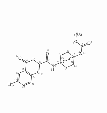 CC(C)(C)OC(=O)NC12CCC(NC(=O)C3CC(=O)c4cc(Cl)ccc4O3)(CC1)CC2